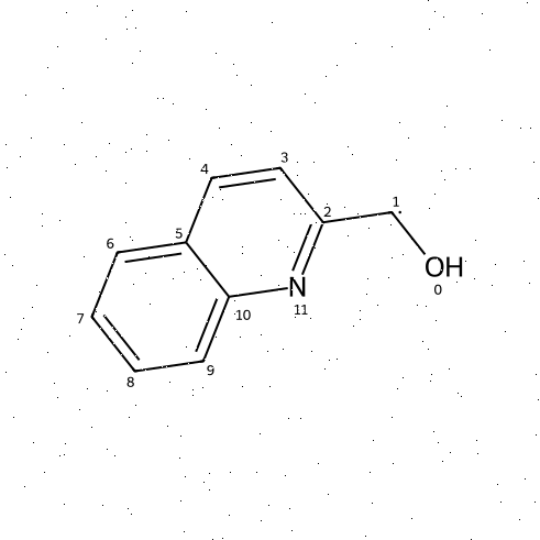 O[CH]c1ccc2ccccc2n1